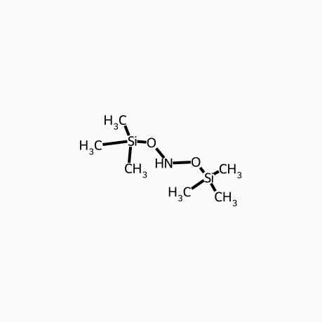 C[Si](C)(C)ONO[Si](C)(C)C